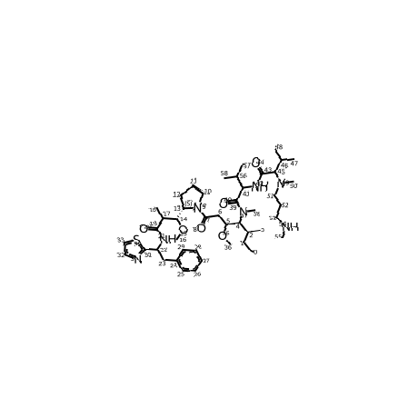 CCC(C)C(C(CC(=O)N1CCC[C@H]1C(OC)C(C)C(=O)NC(Cc1ccccc1)c1nccs1)OC)N(C)C(=O)C(NC(=O)C(C(C)C)N(C)CCCNC)C(C)C